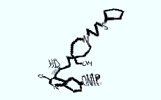 COc1ccc2ncc(Cl)c([C@@H](O)CCC3(CO)CCN(CCCSC4CCCC4)CC3)c2c1